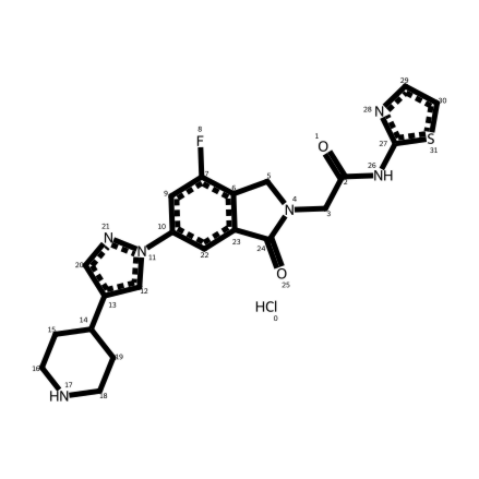 Cl.O=C(CN1Cc2c(F)cc(-n3cc(C4CCNCC4)cn3)cc2C1=O)Nc1nccs1